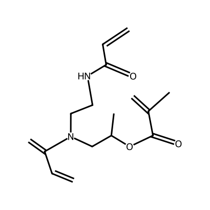 C=CC(=C)N(CCNC(=O)C=C)CC(C)OC(=O)C(=C)C